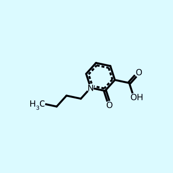 CCCCn1cccc(C(=O)O)c1=O